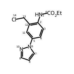 CCOC(=O)Nc1ccc(-n2cccn2)cc1CCl